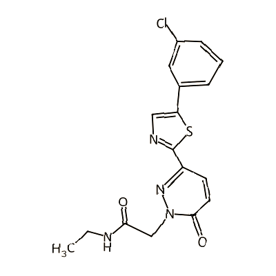 CCNC(=O)Cn1nc(-c2ncc(-c3cccc(Cl)c3)s2)ccc1=O